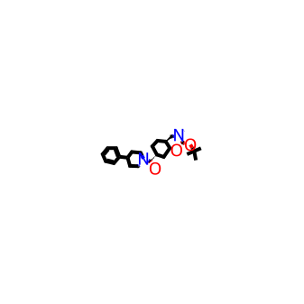 CN(C[C@H]1CC[C@H](C(=O)N2CCC(c3ccccc3)CC2)CC1)C(=O)OC(C)(C)C